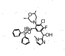 C[C@@H]1CN(c2c(CO[Si](c3ccccc3)(c3ccccc3)C(C)(C)C)cc(C(O)c3nccn3C)c(F)c2Cl)C[C@H](C)O1